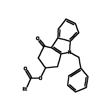 CCC(=O)OC1CC(=O)c2c(n(Cc3ccccc3)c3ccccc23)C1